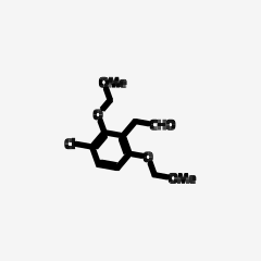 COCOc1ccc(Cl)c(OCOC)c1CC=O